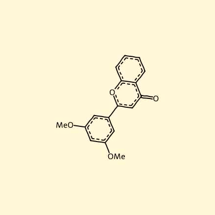 COc1cc(OC)cc(-c2cc(=O)c3ccccc3o2)c1